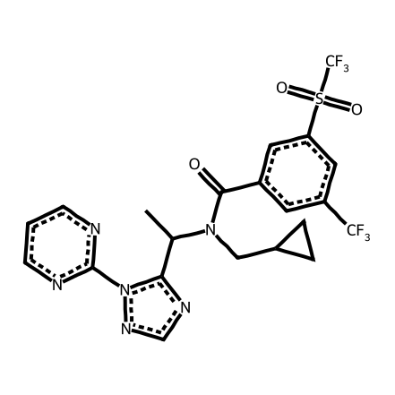 CC(c1ncnn1-c1ncccn1)N(CC1CC1)C(=O)c1cc(C(F)(F)F)cc(S(=O)(=O)C(F)(F)F)c1